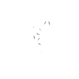 CCC(C)C[C@H](NC(=O)c1ccc2c(c1)nc(Cc1cccs1)n2C(CC)CC)[C@H](O)CC(=O)O